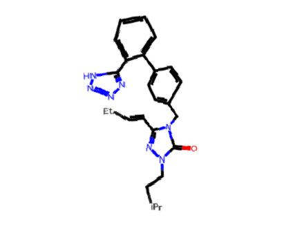 CCC=Cc1nn(CCC(C)C)c(=O)n1Cc1ccc(-c2ccccc2-c2nnn[nH]2)cc1